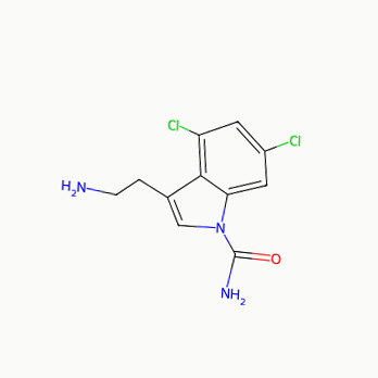 NCCc1cn(C(N)=O)c2cc(Cl)cc(Cl)c12